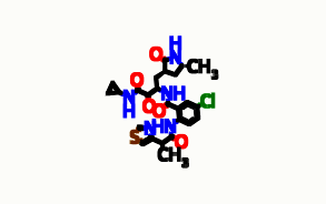 CC(C(=O)Nc1ccc(Cl)cc1C(=O)NC(C[C@@H]1C[C@@H](C)NC1=O)C(=O)C(=O)NC1CC1)c1cscn1